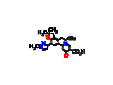 Cn1ccc(-c2cc3c(c4c2OC(C)(C)C4)C[C@@H](C(C)(C)C)n2cc(C(=O)O)c(=O)cc2-3)n1